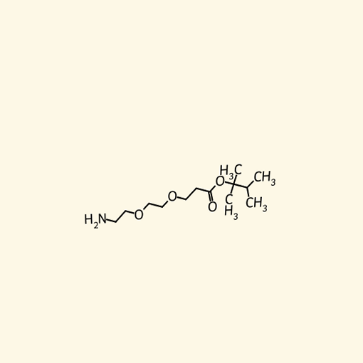 CC(C)C(C)(C)OC(=O)CCOCCOCCN